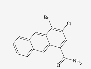 NC(=O)c1cc(Cl)c(Br)c2cc3ccccc3cc12